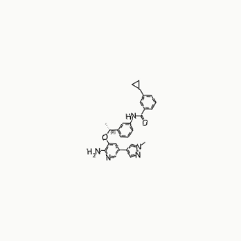 C[C@@H](Oc1cc(-c2cnn(C)c2)cnc1N)c1cccc(NC(=O)c2cccc(C3CC3)c2)c1